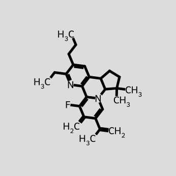 C=C(C)C1=CN2C(=C(F)C1=C)c1nc(CC)c(CCC)cc1C1CCC(C)(C)C12